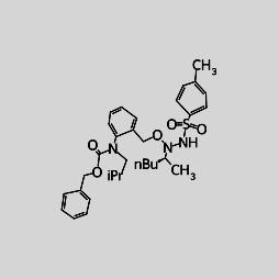 CCCC[C@H](C)N(NS(=O)(=O)c1ccc(C)cc1)OCc1ccccc1N(CC(C)C)C(=O)OCc1ccccc1